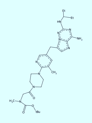 CCC(CC)Nc1nc(N)c2ncc(Cc3cnc(N4CCN(C(=O)CN(C)C(=O)OC(C)(C)C)CC4)c(C)c3)n2n1